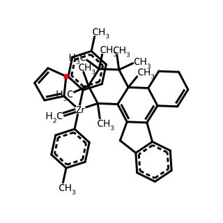 [CH2]=[Zr]([C]1=CC=CC1)([c]1ccc(C)cc1)([c]1ccc(C)cc1)[C]1(C)C2=C3Cc4ccccc4C3=C3C=CCCC3C2(C)C(C)(C)C(C)(C)C1(C)C